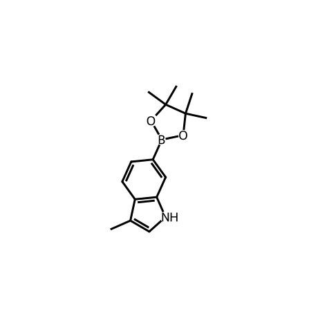 Cc1c[nH]c2cc(B3OC(C)(C)C(C)(C)O3)ccc12